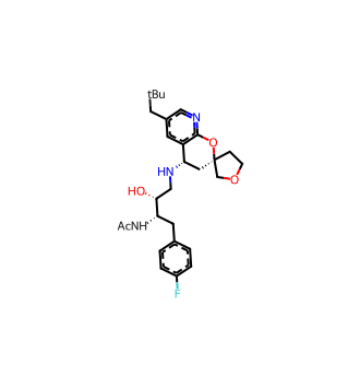 CC(=O)N[C@@H](Cc1ccc(F)cc1)[C@H](O)CN[C@H]1C[C@@]2(CCOC2)Oc2ncc(CC(C)(C)C)cc21